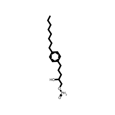 CCCCCCCCc1ccc(CCCC(O)CO[PH2]=O)cc1